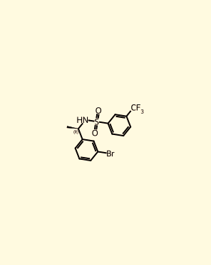 C[C@@H](NS(=O)(=O)c1cccc(C(F)(F)F)c1)c1cccc(Br)c1